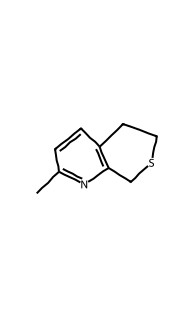 Cc1ccc2c(n1)CSCC2